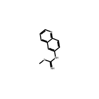 CSC(=N)Nc1ccc2ncccc2c1